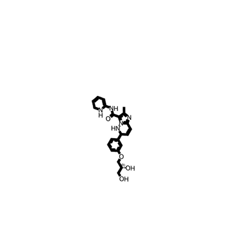 Cc1nc2n(c1C(=O)NC1=CC=CCN1)NC(c1cccc(OC[C@H](O)CO)c1)C=C2